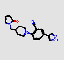 N#Cc1cc(-c2cn[nH]c2)ccc1N1CCC(CN2CCCC2=O)CC1